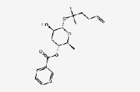 C=CCCC(C)(C)O[C@@H]1O[C@@H](C)[C@H](OC(=O)c2ccccc2)C[C@H]1O